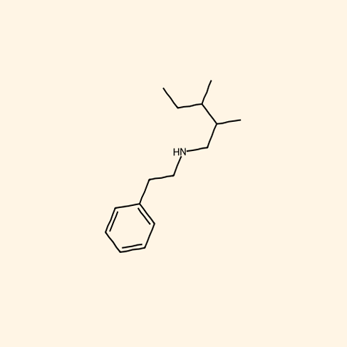 CCC(C)C(C)CNCCc1ccccc1